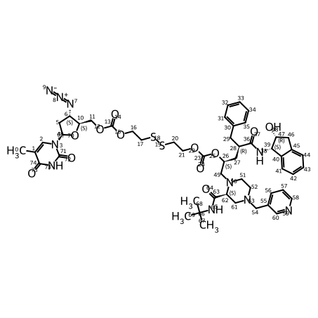 Cc1cn([C@H]2C[C@H](N=[N+]=[N-])[C@@H](COC(=O)OCCSSCCOC(=O)O[C@@H](C[C@@H](Cc3ccccc3)C(=O)N[C@H]3c4ccccc4C[C@H]3O)CN3CCN(Cc4cccnc4)C[C@H]3C(=O)NC(C)(C)C)O2)c(=O)[nH]c1=O